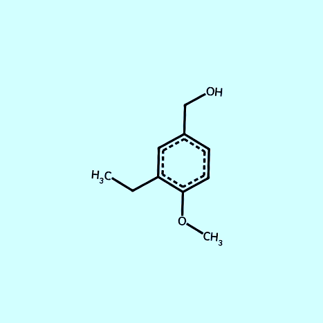 CCc1cc(CO)ccc1OC